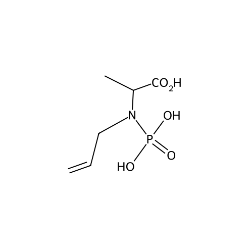 C=CCN(C(C)C(=O)O)P(=O)(O)O